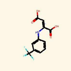 O=C(O)/C=C(\Nc1cccc(C(F)(F)F)c1)C(=O)O